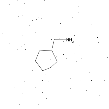 NCC1C[CH]CCC1